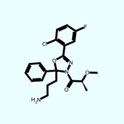 CO[C@@H](C)C(=O)N1N=C(c2cc(F)ccc2Cl)OC1(CCCN)c1ccccc1